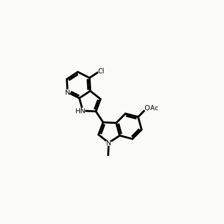 CC(=O)Oc1ccc2c(c1)c(-c1cc3c(Cl)ccnc3[nH]1)cn2C